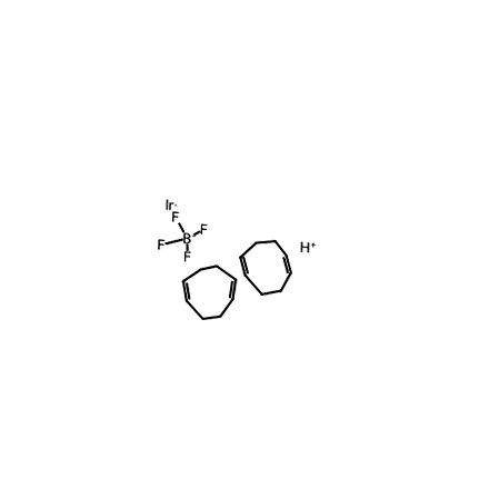 C1=CCCC=CCC1.C1=CCCC=CCC1.F[B-](F)(F)F.[H+].[Ir]